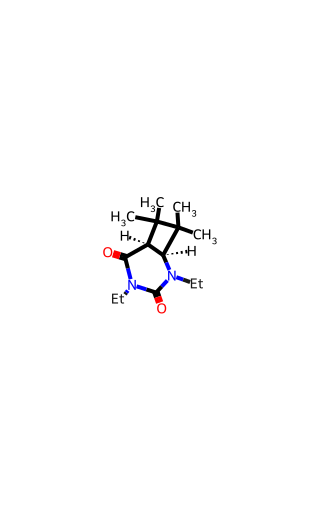 CCN1C(=O)[C@@H]2[C@H](N(CC)C1=O)C(C)(C)C2(C)C